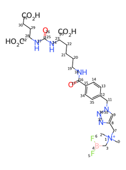 C[N+](C)(CB(F)F)Cc1cn(Cc2ccc(C(=O)NCCCC[C@H](NC(=O)N[C@@H](CCC(=O)O)C(=O)O)C(=O)O)cc2)nn1